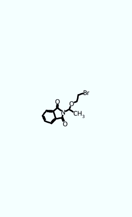 CC(OCCBr)N1C(=O)c2ccccc2C1=O